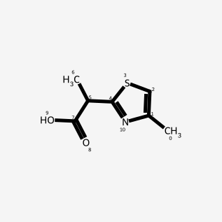 Cc1csc(C(C)C(=O)O)n1